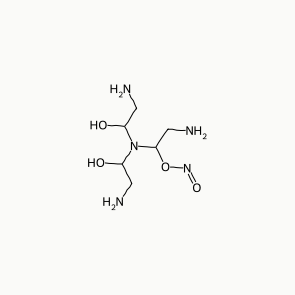 NCC(O)N(C(O)CN)C(CN)ON=O